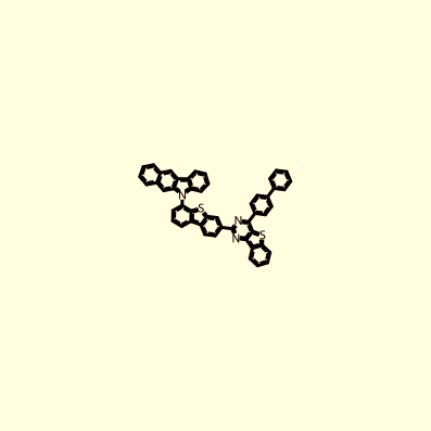 c1ccc(-c2ccc(-c3nc(-c4ccc5c(c4)sc4c(-n6c7ccccc7c7cc8ccccc8cc76)cccc45)nc4c3sc3ccccc34)cc2)cc1